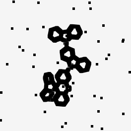 c1ccc2c(c1)Oc1cc(-n3c4ccccc4c4cc(-n5c6ccccc6c6ccccc65)ccc43)ccc1C21c2ccccc2-c2ccnn21